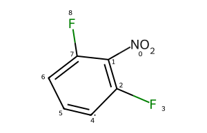 O=[N+]([O-])c1c(F)[c]ccc1F